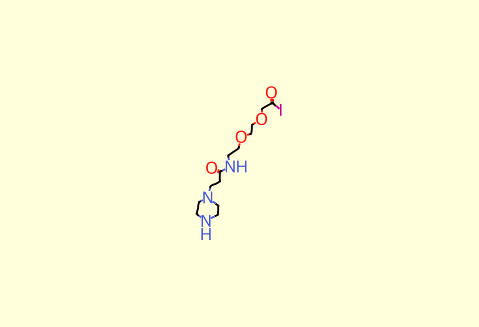 O=C(I)COCCOCCNC(=O)CCN1CCNCC1